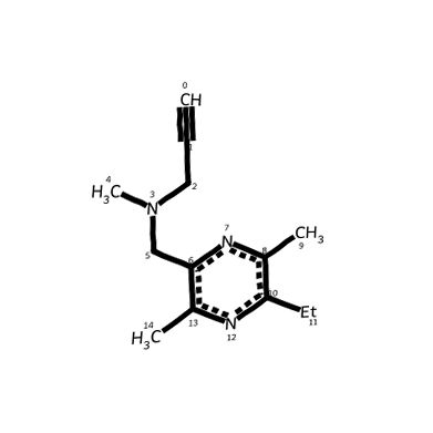 C#CCN(C)Cc1nc(C)c(CC)nc1C